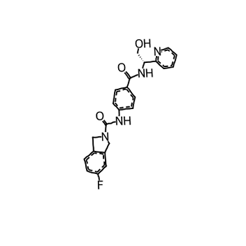 O=C(N[C@H](CO)c1ccccn1)c1ccc(NC(=O)N2Cc3ccc(F)cc3C2)cc1